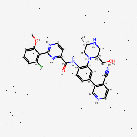 COc1cccc(F)c1-c1nccc(C(=O)Nc2ccc(-c3cnccc3C#N)cc2N2C[C@H](C)NC[C@H]2CO)n1